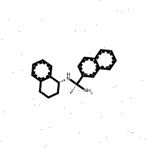 C[C@](N)(N[C@@H]1CCCc2ccccc21)c1ccc2ccccc2c1